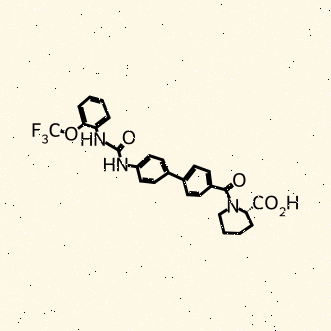 O=C(Nc1ccc(-c2ccc(C(=O)N3CCCC[C@H]3C(=O)O)cc2)cc1)Nc1ccccc1OC(F)(F)F